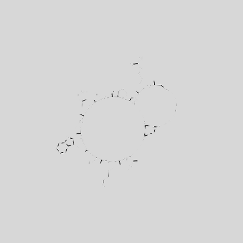 CCCC[C@@H]1NC(=O)[C@@H]2CCCN2C(=O)[C@@H]2CSCc3cc(cc(c3)OCCCCCCO/N=C/C(=O)N[C@@H](CCCNC(=N)N)C(=O)N2)CSC[C@@H](C(N)=O)NC(=O)[C@H](CCCCN)NC(=O)C(C(C)C)NC(=O)[C@H](Cc2c[nH]c3ccccc23)NC(=O)[C@H]([C@@H](C)CC)NC(=O)[C@H](CC(=O)OOC)NC1=O